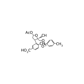 C#C[C@]1(COC(=O)c2ccc(C)cc2)OC(OC(C)=O)CC1c1cc(C(=O)O)ccc1C